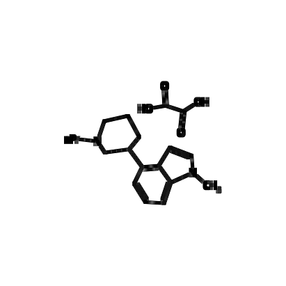 CCCN1CCCC(c2cccc3c2ccn3C)C1.O=C(O)C(=O)O